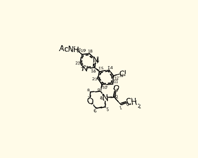 C=CC(=O)N1CCOC[C@H]1c1cc(Cl)cc(-c2ncc(NC(C)=O)cn2)c1